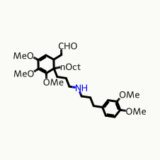 CCCCCCCCC1(CCCNCCCc2ccc(OC)c(OC)c2)C(OC)=C(OC)C(OC)=CC1CC=O